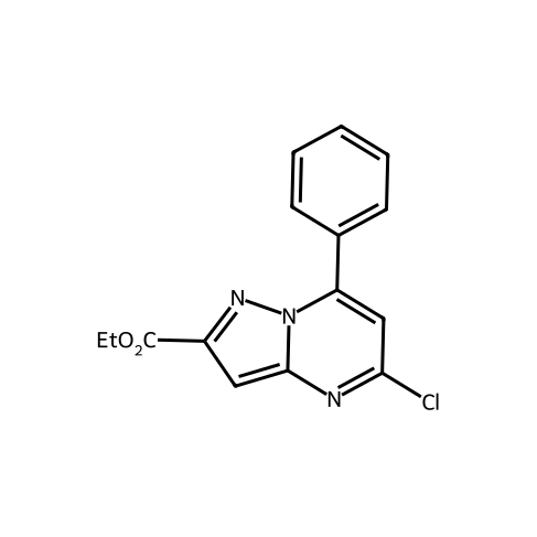 CCOC(=O)c1cc2nc(Cl)cc(-c3ccccc3)n2n1